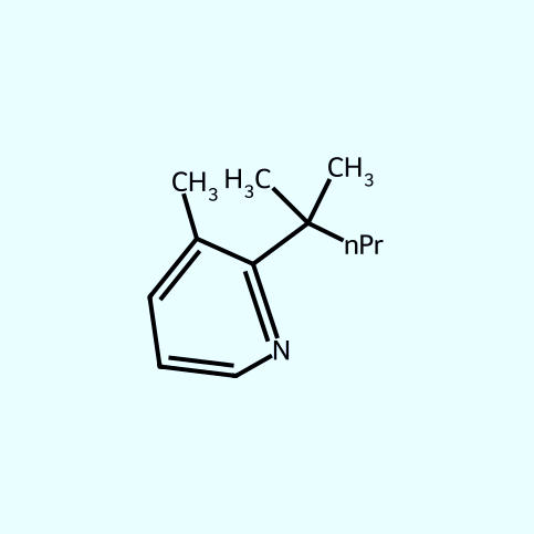 CCCC(C)(C)c1ncccc1C